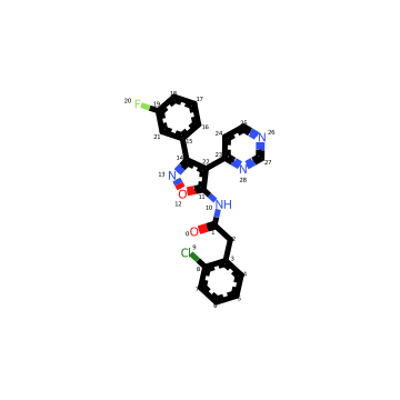 O=C(Cc1ccccc1Cl)Nc1onc(-c2cccc(F)c2)c1-c1ccncn1